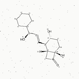 O=C1C[C@@H]2[C@@H](/C=C/[C@@H](O)C3CCCCC3)[C@H](O)CC[C@]12O